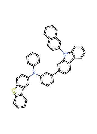 c1ccc(N(c2cccc(-c3ccc4c5ccccc5n(-c5ccc6ccccc6c5)c4c3)c2)c2ccc3sc4ccccc4c3c2)cc1